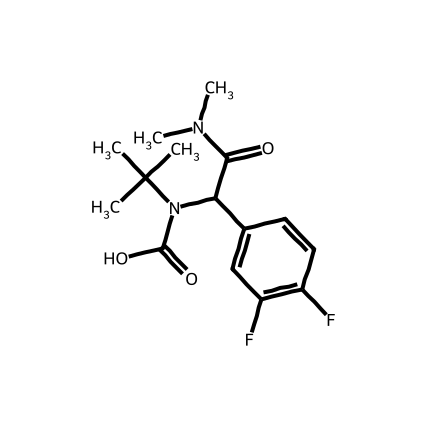 CN(C)C(=O)C(c1ccc(F)c(F)c1)N(C(=O)O)C(C)(C)C